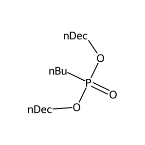 CCCCCCCCCCOP(=O)(CCCC)OCCCCCCCCCC